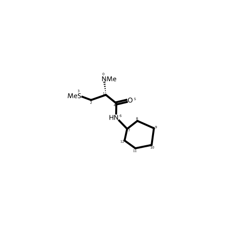 CN[C@@H](CSC)C(=O)NC1CCCCC1